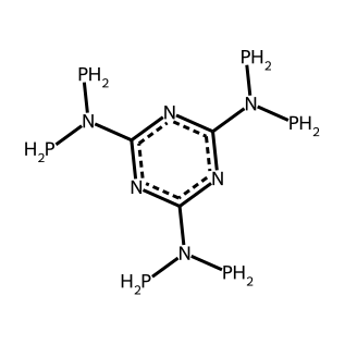 PN(P)c1nc(N(P)P)nc(N(P)P)n1